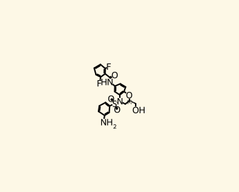 Nc1cccc(S(=O)(=O)N2C[C@H](CO)Oc3ccc(NC(=O)c4c(F)cccc4F)cc32)c1